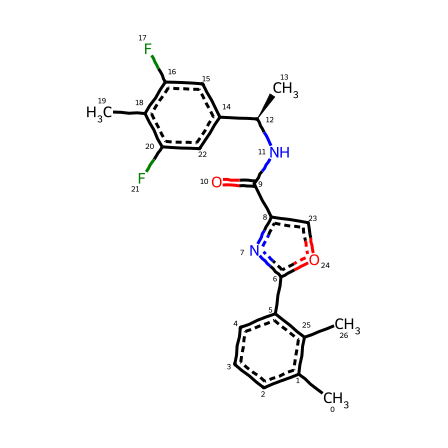 Cc1cccc(-c2nc(C(=O)N[C@H](C)c3cc(F)c(C)c(F)c3)co2)c1C